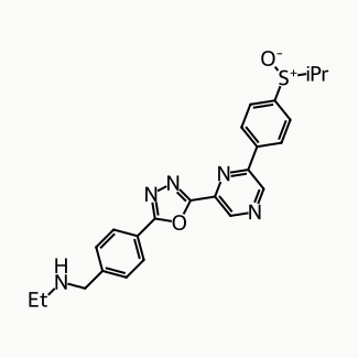 CCNCc1ccc(-c2nnc(-c3cncc(-c4ccc([S+]([O-])C(C)C)cc4)n3)o2)cc1